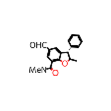 CNC(=O)c1cc(C=O)cc2c1OC(C)[C@H]2c1ccccc1